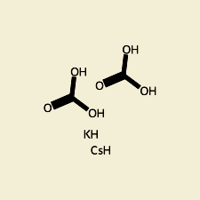 O=C(O)O.O=C(O)O.[CsH].[KH]